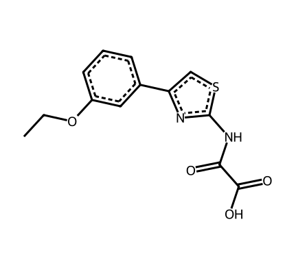 CCOc1cccc(-c2csc(NC(=O)C(=O)O)n2)c1